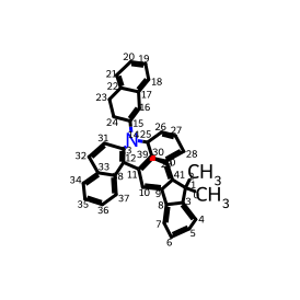 CC1(C)c2ccccc2-c2cc(-c3c(N(C4=Cc5ccccc5CC4)C4C=CC=CC4)ccc4ccccc34)ccc21